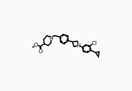 COC(=O)C1CCN(Cc2ccc(C3CN(c4ccc(C5CC5)c(Cl)c4)C3)cc2)CC1